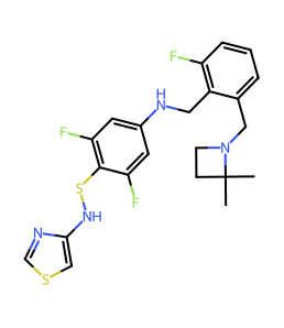 CC1(C)CCN1Cc1cccc(F)c1CNc1cc(F)c(SNc2cscn2)c(F)c1